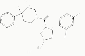 CC(C)N1C[C@@H](C(=O)N2C[C@@H](C)[C@@](O)(c3ccccc3)[C@@H](C)C2)[C@H](c2ccc(F)cc2F)C1.Cl